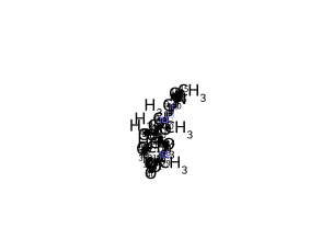 CO[C@@H](/C(C)=C/C=C/C(C)=C/c1coc(C)n1)[C@@H](C)[C@H](C[C@H](O)C1O[C@@H]1/C=C/[C@@H](C)[C@H]1C[C@@H](C[C@H]2O[C@H]2C)CC(=O)O1)OC=O